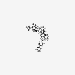 CC(C)[C@H](NC(=O)c1ccc(-c2ccccc2)cc1)C(=O)N[C@@H](Cc1ccccc1)C(=O)NCC(=O)NC(CCC(N)=O)C(O)C(F)(F)F